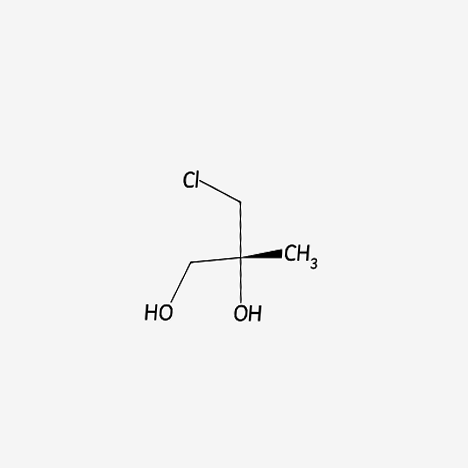 C[C@@](O)(CO)CCl